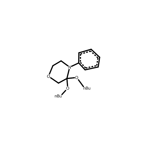 CCCCOC1(OCCCC)COCCN1c1ccccc1